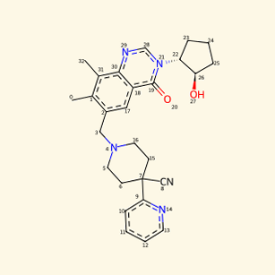 Cc1c(CN2CCC(C#N)(c3ccccn3)CC2)cc2c(=O)n([C@@H]3CCC[C@H]3O)cnc2c1C